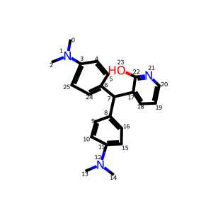 CN(C)c1ccc(C(c2ccc(N(C)C)cc2)c2cccnc2O)cc1